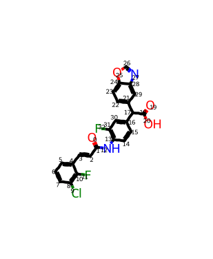 O=C(C=Cc1cccc(Cl)c1F)Nc1ccc(C(C(=O)O)c2ccc3ocnc3c2)cc1F